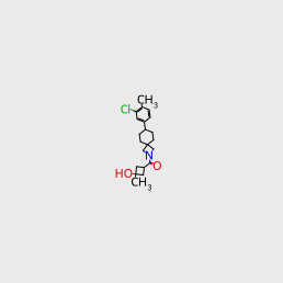 Cc1ccc(C2CCC3(CC2)CN(C(=O)C2CC(C)(O)C2)C3)cc1Cl